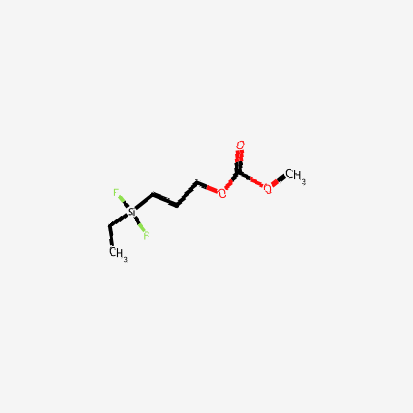 CC[Si](F)(F)CCCOC(=O)OC